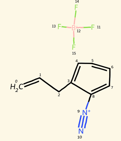 C=CCc1ccccc1[N+]#N.F[B-](F)(F)F